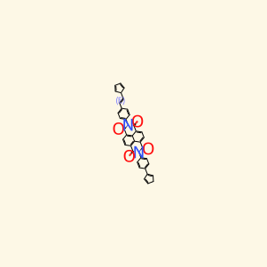 O=C1c2ccc3c4c(ccc(c24)C(=O)N1c1ccc(/C=C/C2C=CC=C2)cc1)C(=O)N(c1ccc(C2=CCC=C2)cc1)C3=O